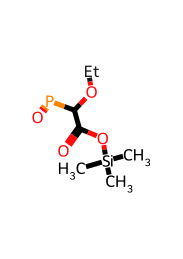 CCOC(P=O)C(=O)O[Si](C)(C)C